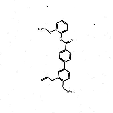 C=CCc1cc(-c2ccc(C(=O)Oc3ccccc3OCCCCC)cc2)ccc1OCCCCC